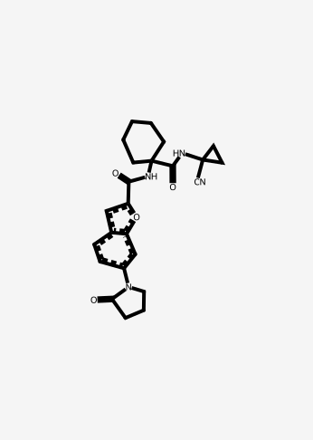 N#CC1(NC(=O)C2(NC(=O)c3cc4ccc(N5CCCC5=O)cc4o3)CCCCC2)CC1